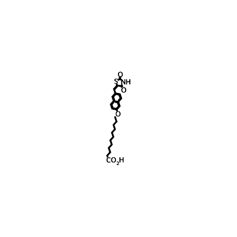 O=C(O)CCCCCCCCCCCOc1ccc2cc(/C=C3/SC(=O)NC3=O)ccc2c1